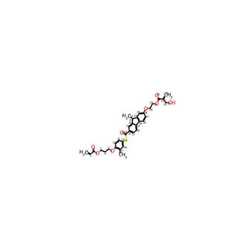 C=CC(=O)OCCCOc1ccc(SC(=O)c2ccc3c(c2)C(C)c2cc(OCCOC(=O)C(=C)CO)ccc2-3)cc1C